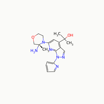 CC(C)(O)c1cc(N2CCOC[C@@]2(C)N)nc2c1cnn2-c1ccccn1